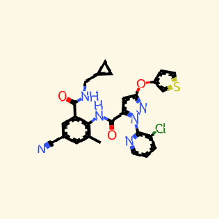 Cc1cc(C#N)cc(C(=O)NCC2CC2)c1NC(=O)c1cc(Oc2ccsc2)nn1-c1ncccc1Cl